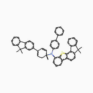 CC1(C)c2ccccc2-c2ccc(C3=CCC(C)(N(c4ccc(-c5ccccc5)cc4)c4cccc5c4sc4c6c(ccc45)C(C)(C)c4ccccc4-6)C=C3)cc21